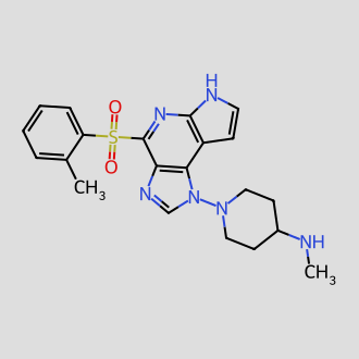 CNC1CCN(n2cnc3c(S(=O)(=O)c4ccccc4C)nc4[nH]ccc4c32)CC1